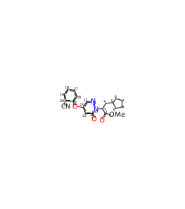 COC(=O)C(CC1CCCC1)n1ncc(Oc2ccccc2C#N)cc1=O